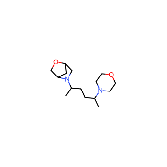 CC(CCC(C)N1CC2CC1CO2)N1CCOCC1